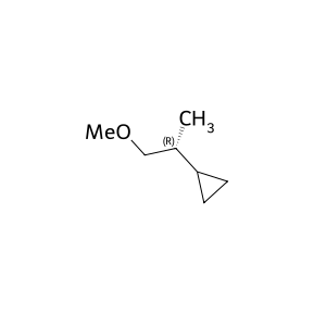 COC[C@H](C)C1CC1